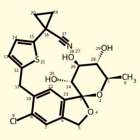 C[C@H]1O[C@]2(OCc3cc(Cl)c(Cc4ccc(C5(C#N)CC5)s4)cc32)[C@H](O)[C@@H](O)[C@@H]1O